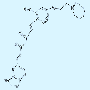 COc1cc(OCCN2CCCCC2)ccc1C=CC(=O)CC(=O)C=Cc1ccc2cc[nH]c2c1